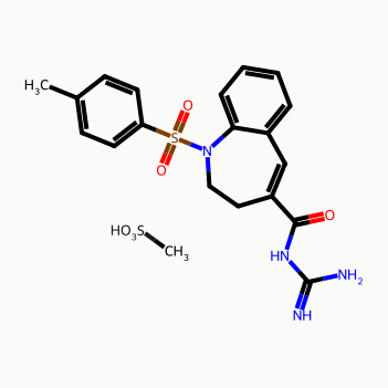 CS(=O)(=O)O.Cc1ccc(S(=O)(=O)N2CCC(C(=O)NC(=N)N)=Cc3ccccc32)cc1